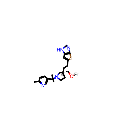 CCOC[C@]1(CCc2cc3[nH]cnc3s2)CCN(C(C)(C)c2ccc(C)nc2)C1